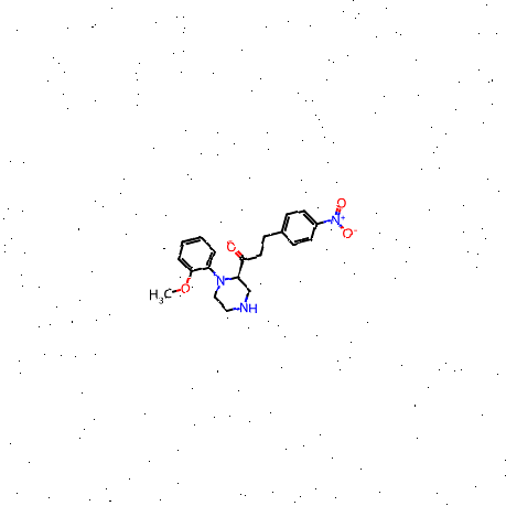 COc1ccccc1N1CCNC[C@@H]1C(=O)CCc1ccc([N+](=O)[O-])cc1